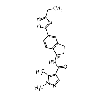 CCc1noc(-c2ccc3c(c2)CC[C@H]3NC(=O)c2cnn(C)c2C)n1